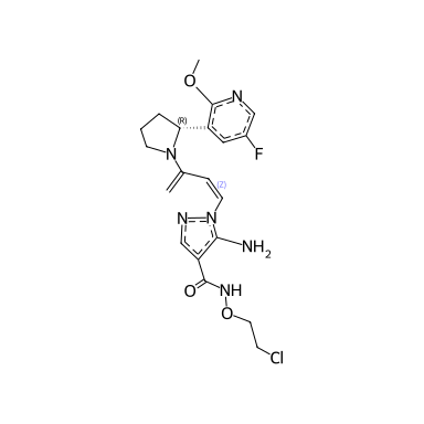 C=C(/C=C\n1ncc(C(=O)NOCCCl)c1N)N1CCC[C@@H]1c1cc(F)cnc1OC